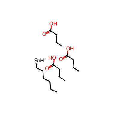 CCCC(=O)O.CCCC(=O)O.CCCC(=O)O.CCCCC[CH2][SnH]